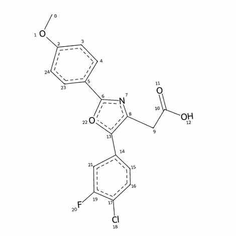 COc1ccc(-c2nc(CC(=O)O)c(-c3ccc(Cl)c(F)c3)o2)cc1